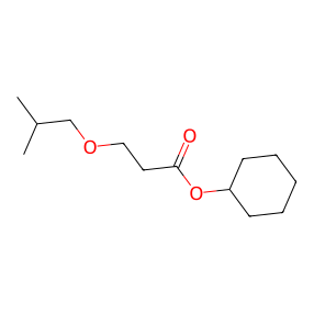 CC(C)COCCC(=O)OC1CCCCC1